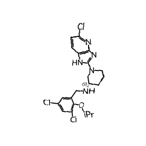 CC(C)Oc1c(Cl)cc(Cl)cc1CN[C@H]1CCCN(c2nc3nc(Cl)ccc3[nH]2)C1